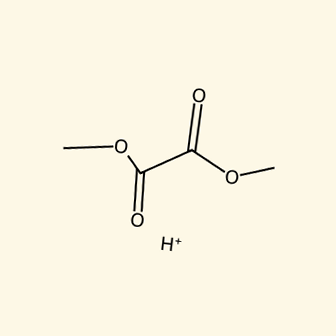 COC(=O)C(=O)OC.[H+]